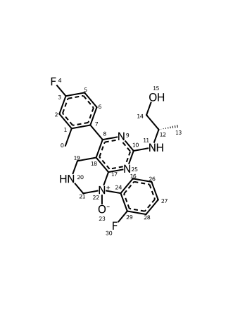 Cc1cc(F)ccc1-c1nc(N[C@@H](C)CO)nc2c1CNC[N+]2([O-])c1ccccc1F